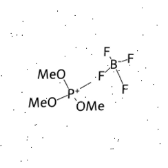 CO[P+](C)(OC)OC.F[B-](F)(F)F